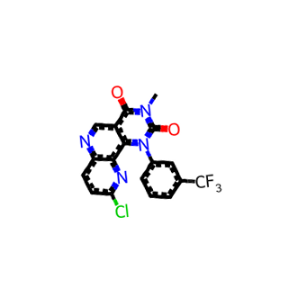 Cn1c(=O)c2cnc3ccc(Cl)nc3c2n(-c2cccc(C(F)(F)F)c2)c1=O